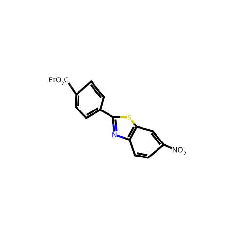 CCOC(=O)c1ccc(-c2nc3ccc([N+](=O)[O-])cc3s2)cc1